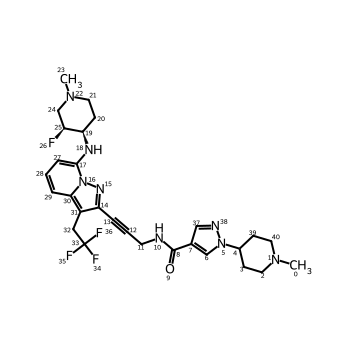 CN1CCC(n2cc(C(=O)NCC#Cc3nn4c(N[C@@H]5CCN(C)C[C@@H]5F)cccc4c3CC(F)(F)F)cn2)CC1